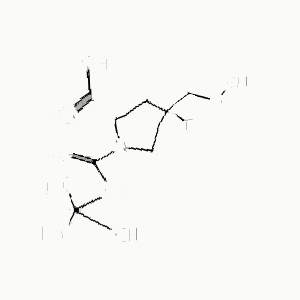 COC[C@@]1(F)C[C@@H](C(=O)O)N(C(=O)OC(C)(C)C)C1